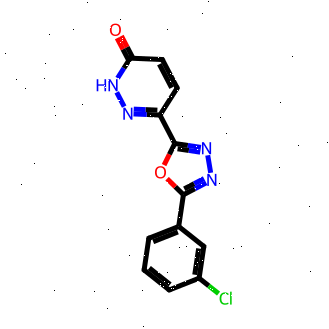 O=c1ccc(-c2nnc(-c3cccc(Cl)c3)o2)n[nH]1